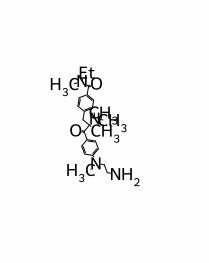 CCN(C)C(=O)c1ccc(CC(C)(C(=O)c2ccc(N(C)CCN)cc2)N(C)C)cc1